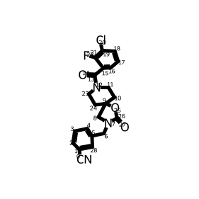 N#Cc1cccc(CN2CC3(CCN(C(=O)c4cccc(Cl)c4F)CC3)OC2=O)c1